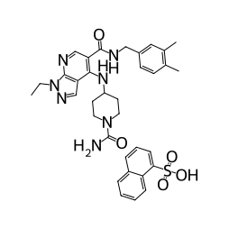 CCn1ncc2c(NC3CCN(C(N)=O)CC3)c(C(=O)NCc3ccc(C)c(C)c3)cnc21.O=S(=O)(O)c1cccc2ccccc12